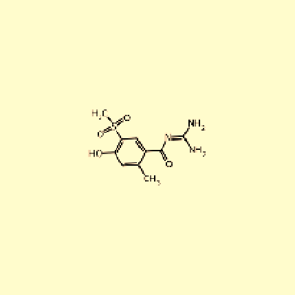 Cc1cc(O)c(S(C)(=O)=O)cc1C(=O)N=C(N)N